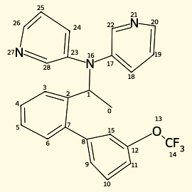 CC(c1ccccc1-c1cccc(OC(F)(F)F)c1)N(c1cccnc1)c1cccnc1